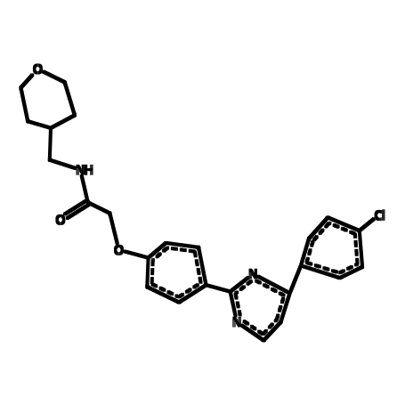 O=C(COc1ccc(-c2nccc(-c3ccc(Cl)cc3)n2)cc1)NCC1CCOCC1